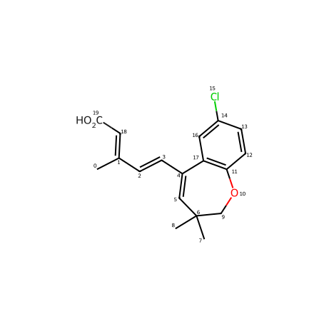 CC(C=CC1=CC(C)(C)COc2ccc(Cl)cc21)=CC(=O)O